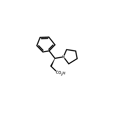 O=C(O)C[C@@H](c1ccccc1)N1CCCC1